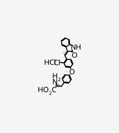 Cl.N[C@@H](Cc1ccc(Oc2ccc(/C=C3\C(=O)Nc4ccccc43)c(Cl)c2)cc1)C(=O)O